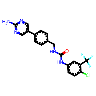 Nc1ncc(-c2ccc(CNC(=O)Nc3ccc(Cl)c(C(F)(F)F)c3)cc2)cn1